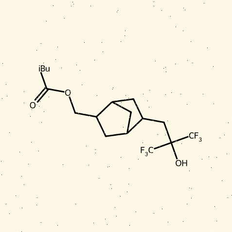 CCC(C)C(=O)OCC1CC2CC1CC2CC(O)(C(F)(F)F)C(F)(F)F